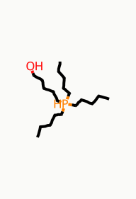 CCCCC[PH](CCCCC)(CCCCC)CCCCCO